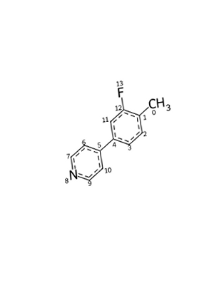 Cc1ccc(-c2ccncc2)cc1F